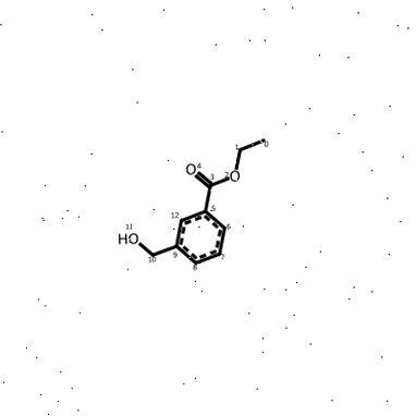 CCOC(=O)c1cc[c]c(CO)c1